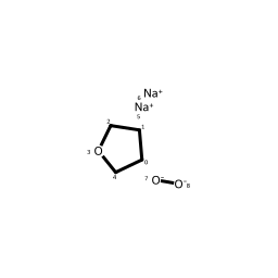 C1CCOC1.[Na+].[Na+].[O-][O-]